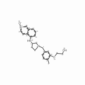 Cc1ccc(CN2CC[C@@H](Nc3cccc4c[n+]([O-])ccc34)C2)cc1OCCO